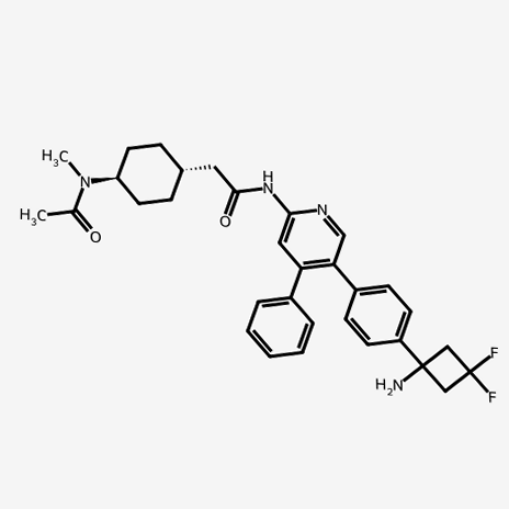 CC(=O)N(C)[C@H]1CC[C@H](CC(=O)Nc2cc(-c3ccccc3)c(-c3ccc(C4(N)CC(F)(F)C4)cc3)cn2)CC1